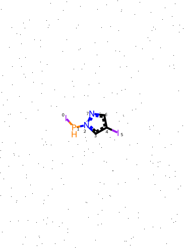 IPn1cc(I)cn1